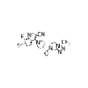 C[C@@H]1CN(c2c(C#N)cnc3c(F)c(C4CC4)ccc23)CC[C@@H]1C(=O)N1CCn2c(nnc2C(F)(F)F)C1